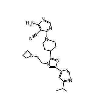 CC(C)c1cc(-c2cn(CCN3CCC3)c(C3CCN(c4ncnc(N)c4C#N)CC3)n2)ccn1